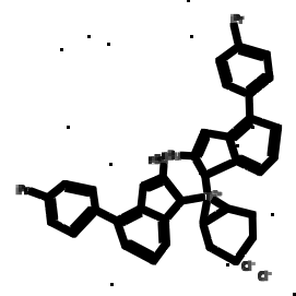 CCCCC1=Cc2c(-c3ccc(C(C)C)cc3)cccc2[CH]1[Ti+2]1([CH]2C(CCCC)=Cc3c(-c4ccc(C(C)C)cc4)cccc32)[CH]2CCCC[CH]21.[Cl-].[Cl-]